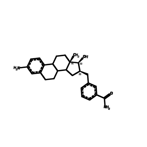 C[C@]12CCC3c4ccc(N)cc4CCC3C1C[C@H](Cc1cccc(C(N)=O)c1)[C@@H]2O